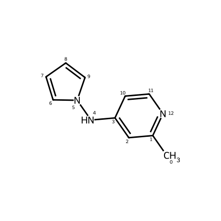 Cc1cc(Nn2cccc2)ccn1